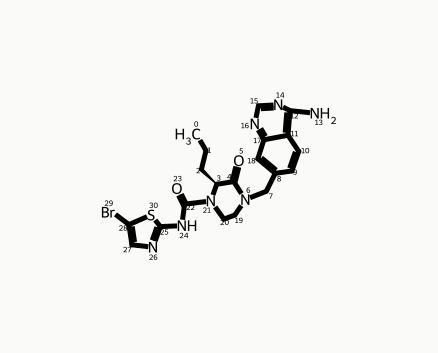 CCC[C@H]1C(=O)N(Cc2ccc3c(N)ncnc3c2)CCN1C(=O)Nc1ncc(Br)s1